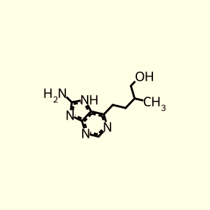 CC(CO)CCc1ncnc2nc(N)[nH]c12